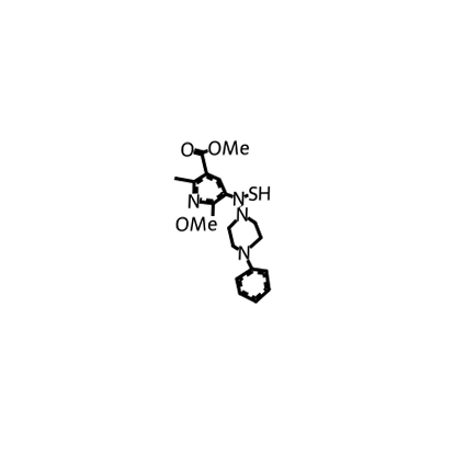 COC(=O)c1cc(N(S)N2CCN(c3ccccc3)CC2)c(OC)nc1C